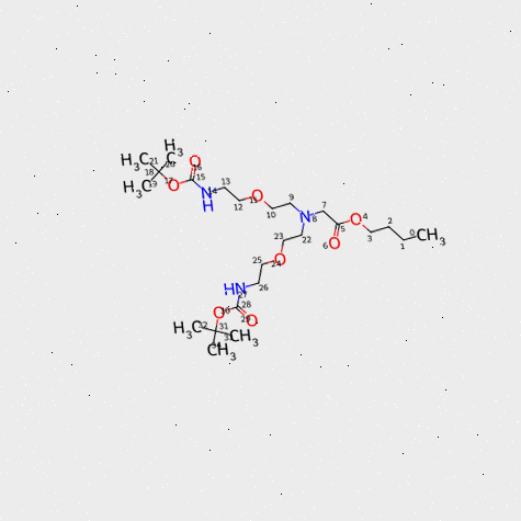 CCCCOC(=O)CN(CCOCCNC(=O)OC(C)(C)C)CCOCCNC(=O)OC(C)(C)C